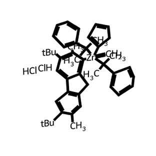 Cl.Cl.[CH2]=[Zr]([C]1=CC=CC1)([c]1c(C)c(C(C)(C)C)cc2c1Cc1cc(C)c(C(C)(C)C)cc1-2)([C](C)(C)c1ccccc1)[C](C)(C)c1ccccc1